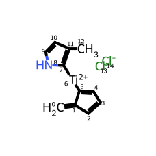 C=C1C=CC=[C]1[Ti+2][c]1[nH]ccc1C.[Cl-].[Cl-]